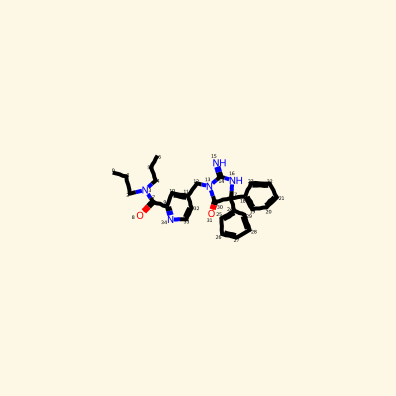 CCCN(CCC)C(=O)c1cc(CN2C(=N)NC(c3ccccc3)(c3ccccc3)C2=O)ccn1